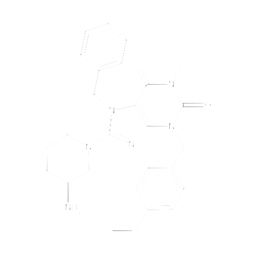 COc1ccc(Cn2c(=O)n(C)c(=O)c3c2nc(N2CCCC(N)C2)n3Cc2ccccc2)cc1